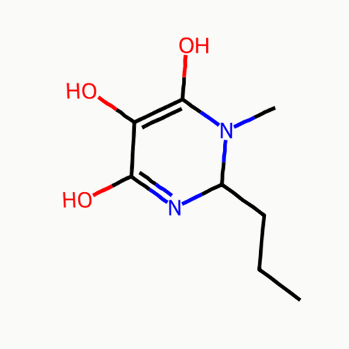 CCCC1N=C(O)C(O)=C(O)N1C